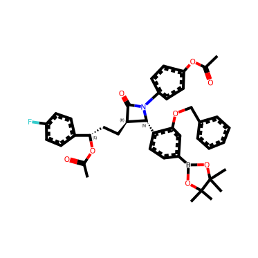 CC(=O)Oc1ccc(N2C(=O)[C@H](CC[C@H](OC(C)=O)c3ccc(F)cc3)[C@H]2c2ccc(B3OC(C)(C)C(C)(C)O3)cc2OCc2ccccc2)cc1